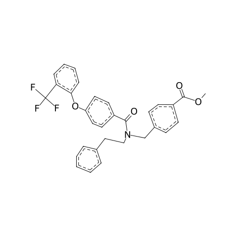 COC(=O)c1ccc(CN(CCc2ccccc2)C(=O)c2ccc(Oc3ccccc3C(F)(F)F)cc2)cc1